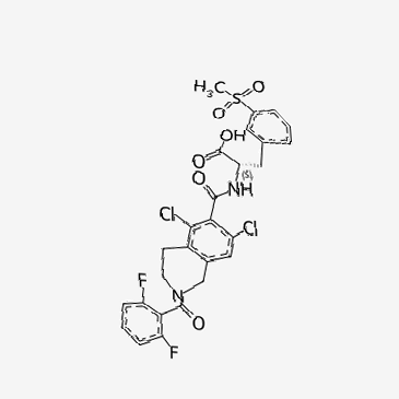 CS(=O)(=O)c1cccc(C[C@H](NC(=O)c2c(Cl)cc3c(c2Cl)CCN(C(=O)c2c(F)cccc2F)C3)C(=O)O)c1